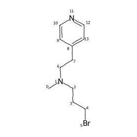 CN(CCCBr)CCc1ccncc1